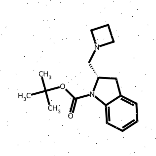 CC(C)(C)OC(=O)N1c2ccccc2C[C@H]1CN1CCC1